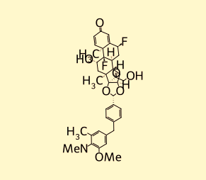 CNc1c(C)cc(Cc2ccc([C@H]3O[C@@H]4C[C@H]5[C@@H]6C[C@H](F)C7=CC(=O)C=C[C@]7(C)[C@@]6(F)[C@@H](O)C[C@]5(C)[C@]4(C(=O)CO)O3)cc2)cc1OC